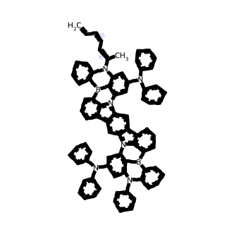 C=C/C=C\C=C(/C)N1c2ccccc2B2c3c1cc(N(c1ccccc1)c1ccccc1)cc3-n1c3cc4c5cccc6c5n(c4cc3c3cccc2c31)-c1cc(N(c2ccccc2)c2ccccc2)cc2c1B6c1ccccc1N2c1ccccc1